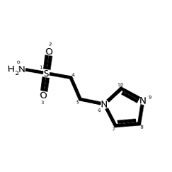 NS(=O)(=O)CCn1ccnc1